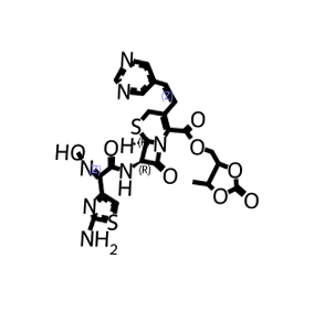 CC1OC(=O)OC1COC(=O)C1=C(/C=C\c2cncnc2)CS[C@@H]2[C@H](NC(=O)/C(=N\O)c3csc(N)n3)C(=O)N12